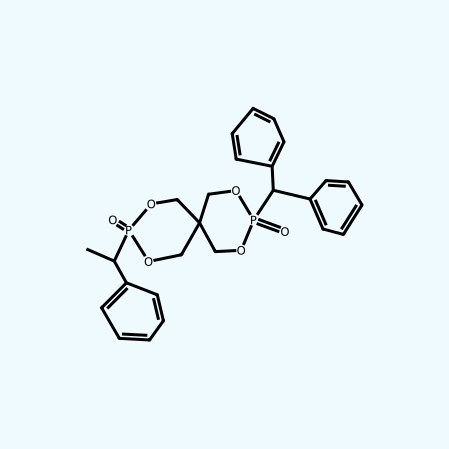 CC(c1ccccc1)P1(=O)OCC2(CO1)COP(=O)(C(c1ccccc1)c1ccccc1)OC2